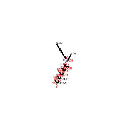 CCCCCCCCCCCCC/C=C/[C@@H](O)[C@H](CO[C@@H]1OC(CO)[C@@H](O[C@@H]2OC(CO)[C@H](O)[C@H](O[C@H]3OC(CO)[C@H](O)[C@H](O[C@@H]4OC(CO)[C@H](O)[C@H](O[C@H]5OC(CO)[C@H](O)[C@H](O)C5NC(C)=O)C4NC(C)=O)C3O)C2O)[C@H](O)C1O)NC(=O)CCCCCCCCCCCCCCCCCCCCCCCCC